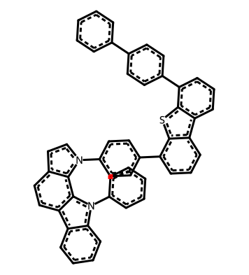 c1ccc(-c2ccc(-c3cccc4c3sc3c(-c5ccc(-n6ccc7ccc8c9ccccc9n(-c9ccccc9)c8c76)cc5)cccc34)cc2)cc1